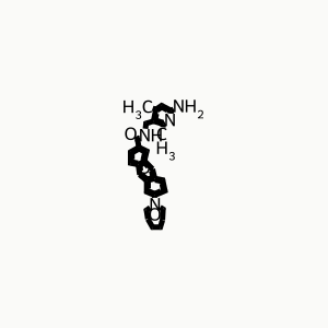 Cc1cc(N)nc(C)c1CNC(=O)c1ccc2c(c1)c1oc2c2cc(N3CC4CCC(C3)O4)ccc21